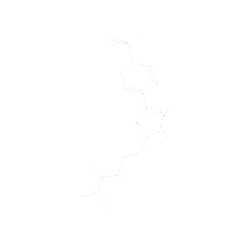 O=[N+]([O-])c1ccc(-c2noc(SCCC(F)=C(F)F)n2)cc1